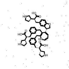 O=C(O)[C@@H](Cc1cccc(CC2=C(Cc3cccc(C[C@H](C(=O)O)[C@H]4CCNC4)c3)C([C@H]3COc4ccc(C[C@H](C(=O)O)[C@H]5CCNC5)cc43)=CC=CN2)c1)[C@H]1CCNC1